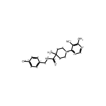 N#Cc1c(N)ncnc1N1CCC(N)(C(=O)NCc2ccc(Cl)cc2)CC1